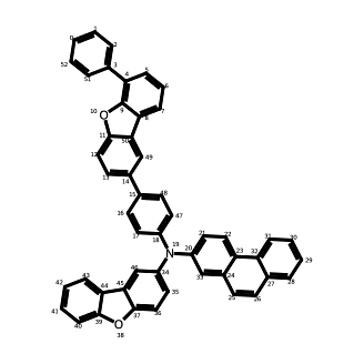 c1ccc(-c2cccc3c2oc2ccc(-c4ccc(N(c5ccc6c(ccc7ccccc76)c5)c5ccc6oc7ccccc7c6c5)cc4)cc23)cc1